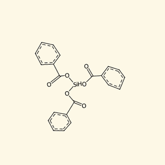 O=C(O[SiH](OC(=O)c1ccccc1)OC(=O)c1ccccc1)c1ccccc1